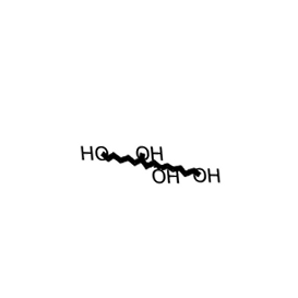 OCCCCCC(O)[CH]CC(O)CCCCCO